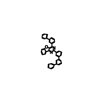 c1ccc(-c2cccc(-c3cccc(-c4nc(-c5cccc(-c6ccccc6)c5)c5oc6ccccc6c5n4)c3)c2)cc1